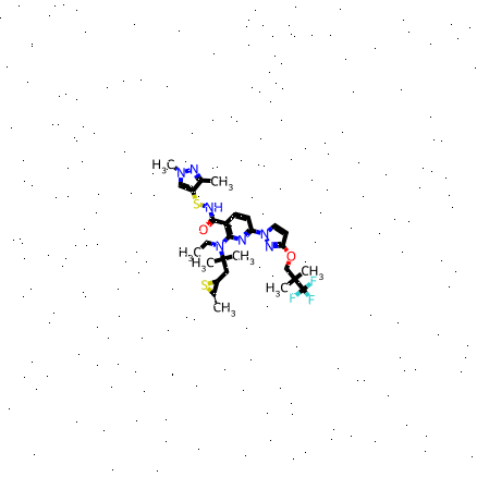 CCN(c1nc(-n2ccc(OCC(C)(C)C(F)(F)F)n2)ccc1C(=O)NSc1cn(C)nc1C)C(C)(C)CC1S[C@H]1C